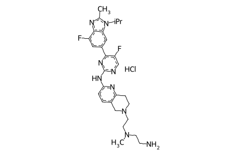 Cc1nc2c(F)cc(-c3nc(Nc4ccc5c(n4)CCN(CCN(C)CCN)C5)ncc3F)cc2n1C(C)C.Cl